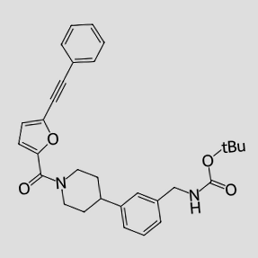 CC(C)(C)OC(=O)NCc1cccc(C2CCN(C(=O)c3ccc(C#Cc4ccccc4)o3)CC2)c1